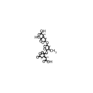 CC(=CC(=O)OC(=O)CC(=CC(=O)O)C(=O)O)C(=O)OC(=O)C(=CC(=O)O)CC(=O)O